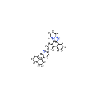 c1ccc2c(-c3ccc(-c4ccc5c(c4)c4ccccc4c4nc6ccccn6c54)nc3)cccc2c1